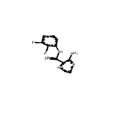 N=C(Nc1cccc(F)c1F)c1nccnc1N